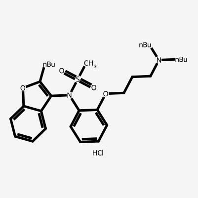 CCCCc1oc2ccccc2c1N(c1ccccc1OCCCN(CCCC)CCCC)S(C)(=O)=O.Cl